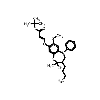 CCCCC1CN(c2ccccc2)c2cc(SC)c(O/C=C/C(=O)OC(C)(C)C)cc2SC1(C)C